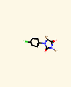 O=C1C(Br)N(c2ccc(Cl)cc2)C(=O)N1Br